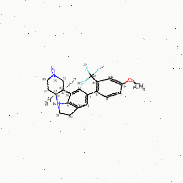 COc1ccc(-c2cc3c4c(c2)[C@@H]2CNCC[C@@H]2N4CC3)c(C(F)(F)F)c1